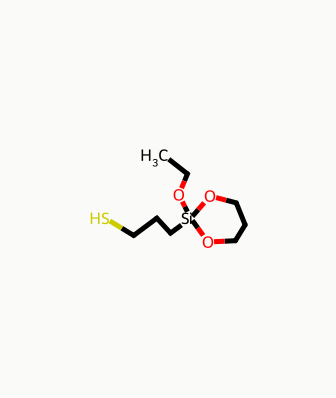 CCO[Si]1(CCCS)OCCCO1